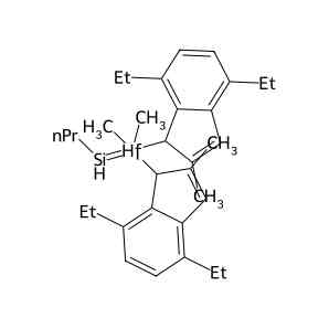 CCC[SiH]=[Hf]([CH3])([CH3])([CH]1C(C)=Cc2c(CC)ccc(CC)c21)[CH]1C(C)=Cc2c(CC)ccc(CC)c21